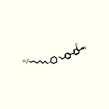 CCCCCCCC[C@H]1CC[C@H](CCc2ccc(-c3ccc(C#N)c(F)c3)cc2)CC1